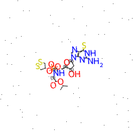 CC(C)OC(=O)[C@H](C)N[P@@](=O)(OC[C@H]1O[C@@H](n2cnc3c(=S)[nH]c(N)nc32)C[C@@H]1O)OC1CSSC1